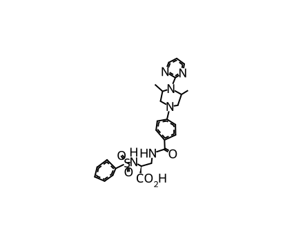 CC1CN(c2ccc(C(=O)NC[C@H](NS(=O)(=O)c3ccccc3)C(=O)O)cc2)CC(C)N1c1ncccn1